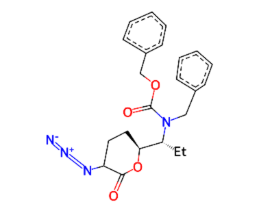 CC[C@H]([C@@H]1CCC(N=[N+]=[N-])C(=O)O1)N(Cc1ccccc1)C(=O)OCc1ccccc1